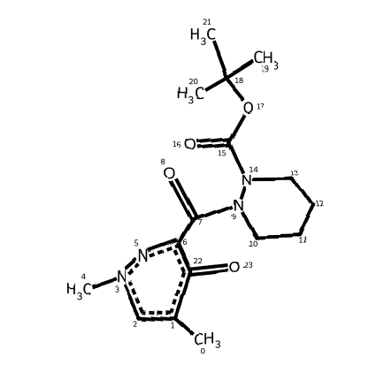 Cc1cn(C)nc(C(=O)N2CCCCN2C(=O)OC(C)(C)C)c1=O